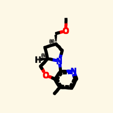 COC[C@H]1C[C@H]2COc3c(C)ccnc3N2C1